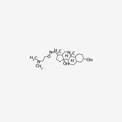 CN(C)CCO/N=C\C1CC[C@@]2(O)[C@@H]3CCC4CC(O)CC[C@]4(C)[C@@H]3CC[C@]12C